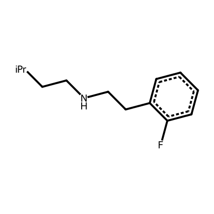 CC(C)CCNCCc1ccccc1F